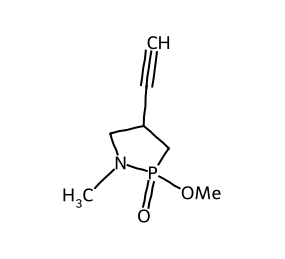 C#CC1CN(C)P(=O)(OC)C1